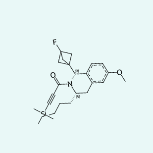 CCCC[C@H]1Cc2cc(OC)ccc2[C@@H](C23CC(F)(C2)C3)N1C(=O)C#C[Si](C)(C)C